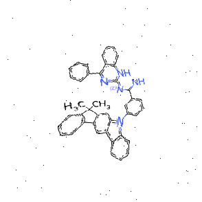 CC1(C)c2ccccc2-c2cc3c4ccccc4n(-c4cccc(C(=N)/N=c5/nc(-c6ccccc6)c6ccccc6[nH]5)c4)c3cc21